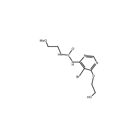 COCCN[S+]([O-])Nc1ncnc(OCCO)c1Br